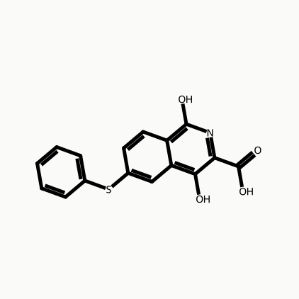 O=C(O)c1nc(O)c2ccc(Sc3ccccc3)cc2c1O